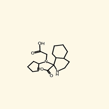 O=C(O)CN(C1CCCC1)C1(C(=O)O)NCCC2CCCCC21